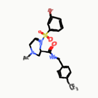 CC(=O)N1CCN(S(=O)(=O)c2cccc(Br)c2)C(C(=O)NCc2ccc(C(F)(F)F)cc2)C1